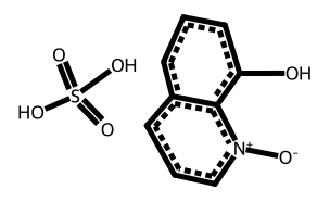 O=S(=O)(O)O.[O-][n+]1cccc2cccc(O)c21